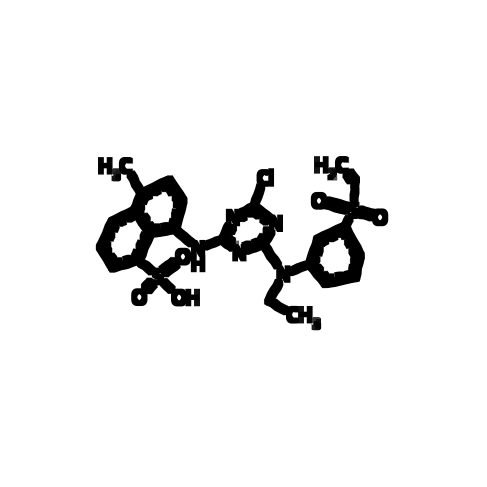 C=CS(=O)(=O)c1cccc(N(CC)c2nc(Cl)nc(Nc3ccc(C)c4cccc(S(=O)(=O)O)c34)n2)c1